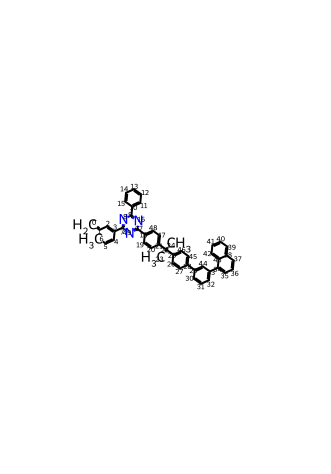 C=C/C=C(\C=C/C)c1nc(-c2ccccc2)nc(-c2ccc(C(C)(C)c3ccc(-c4cccc(-c5cccc6ccccc56)c4)cc3)cc2)n1